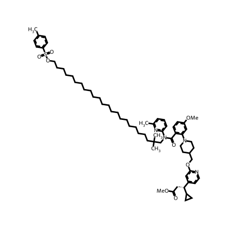 COC(=O)C[C@H](c1ccnc(OCC2CCN(c3cc(OC)ccc3C(=O)N(CC(C)(C)CCCCCCCCCCCCCCCCCCCCCCOS(=O)(=O)c3ccc(C)cc3)c3cccc(C)n3)CC2)c1)C1CC1